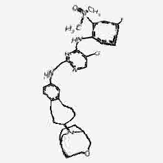 CP(C)(=O)c1cc(F)ccc1Nc1nc(Nc2ccc3c(c2)CCC(N2C4CCC2COC4)CC3)ncc1Cl